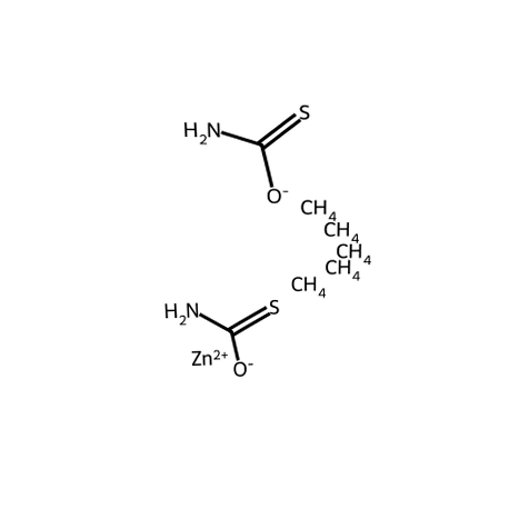 C.C.C.C.C.NC([O-])=S.NC([O-])=S.[Zn+2]